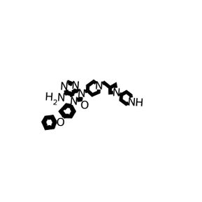 Nc1ncnc2c1n(-c1ccc(Oc3ccccc3)cc1)c(=O)n2C1CCN(CC2CN(C3CCNCC3)C2)CC1